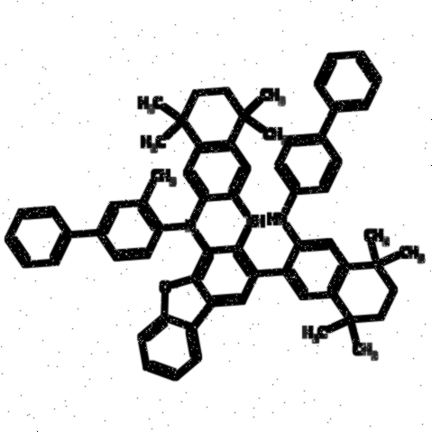 Cc1cc(-c2ccccc2)ccc1N1c2cc3c(cc2Bc2c(-c4cc5c(cc4Nc4ccc(-c6ccccc6)cc4)C(C)(C)CCC5(C)C)cc4c(oc5ccccc54)c21)C(C)(C)CCC3(C)C